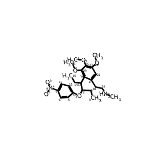 CCC(Oc1ccc([N+](=O)[O-])cc1)C(CC)c1c(CCNC)cc(OC)c(OC)c1OC